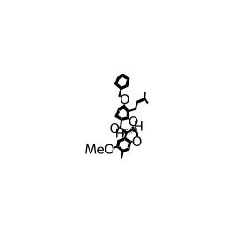 COc1cc2c(cc1C)OC[C@H]1Oc3c(ccc(OCc4ccccc4)c3CC=C(C)C)C(=O)[C@@H]21